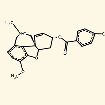 COc1ccc2c3c1OC1C[C@@H](OC(=O)c4ccc(C)cc4)C=C[C@@]31CCN(C)C2